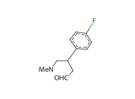 CNCC(CC=O)c1ccc(F)cc1